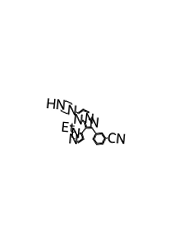 CCn1nccc1-c1c(-c2cccc(C#N)c2)nn2ccc(N3CCNCC3)nc12